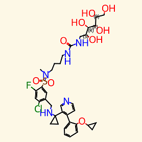 CN(CCCCNC(=O)NC[C@H](O)[C@@H](O)[C@H](O)[C@H](O)CO)S(=O)(=O)c1cc(CNC2(c3cnccc3-c3ccccc3OC3CC3)CC2)c(Cl)cc1F